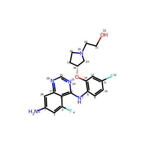 Nc1cc(F)c2c(Nc3ccc(F)cc3O[C@@H]3CCN(CCO)C3)ncnc2c1